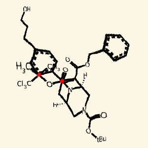 CC(C)(C)OC(=O)N1C[C@H]2CC(c3ccc(CCCO)cc3)=C(C(=O)OCc3ccccc3)[C@@H](C1)N2C(=O)OC(C)(C)C(Cl)(Cl)Cl